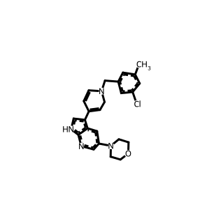 Cc1cc(Cl)cc(CN2C=CC(c3c[nH]c4ncc(N5CCOCC5)cc34)=CC2)c1